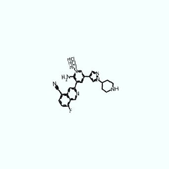 Cl.Cl.Cl.N#Cc1ccc(F)c2cnc(-c3cc(-c4cnn(C5CCNCC5)c4)cnc3N)cc12